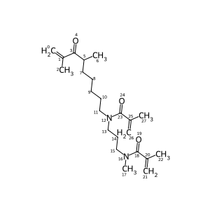 C=C(C)C(=O)C(C)CCCCCN(CCCN(C)C(=O)C(=C)C)C(=O)C(=C)C